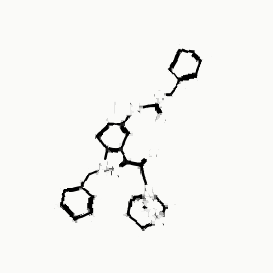 O=C(Nc1ccc2c(c1)c(C(=O)N1CCN3CCC1CC3)nn2Cc1ccccc1)OCc1ccccc1